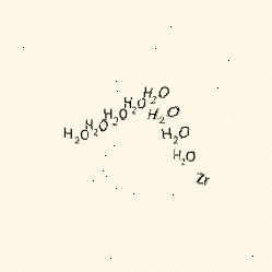 O.O.O.O.O.O.O.O.[Zr]